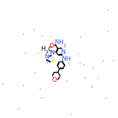 CN(c1nccs1)c1cc(Nc2ccc(C3CCOCC3)cc2)ncc1C(N)=O